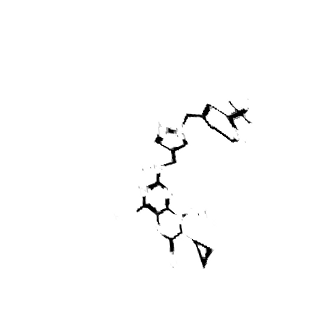 Cc1nc(NCc2cnn(Cc3ccnc(C(F)(F)F)c3)c2)nc2c1NC(=O)[C@H](C1CC1)N2C